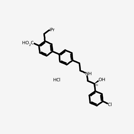 CC(C)Cc1cc(-c2ccc(CCNC[C@@H](O)c3cccc(Cl)c3)cc2)ccc1C(=O)O.Cl